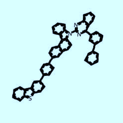 c1ccc(-c2cccc(-c3nc(-n4c5ccccc5c5c6ccc(-c7ccc(-c8ccc9sc%10ccccc%10c9c8)cc7)cc6ccc54)nc4ccccc34)c2)cc1